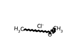 CCCCCCCCC=CCCCCCCCC(=O)[n+]1ccn(C)c1.[Cl-]